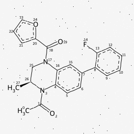 CC(=O)N1c2ccc(-c3ccccc3F)cc2N(C(=O)c2ccco2)C[C@@H]1C